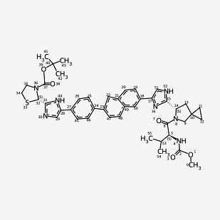 COC(=O)N[C@H](C(=O)N1CC2(CC2)C[C@H]1c1nc(-c2ccc3cc(-c4ccc(-c5cnc([C@@H]6SCCN6C(=O)OC(C)(C)C)[nH]5)cc4)ccc3c2)c[nH]1)C(C)C